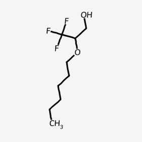 CCCCCCOC(CO)C(F)(F)F